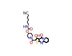 N#CCCCCCNC(=O)OC1CCN(C(=O)c2sc3nc4ccccn4c(=O)c3c2O)CC1